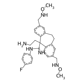 CONCc1ccc2c(c1)CCc1cc(CNOC)ccc1C2(CCN)C(=N)Nc1ccc(F)cc1